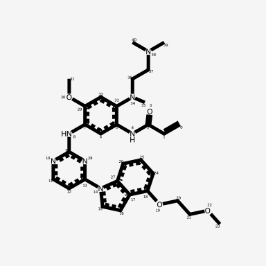 C=CC(=O)Nc1cc(Nc2nccc(-n3ccc4c(OCCOC)cccc43)n2)c(OC)cc1N(C)CCN(C)C